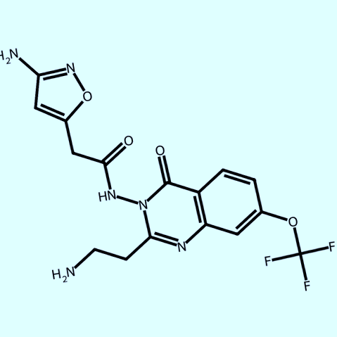 NCCc1nc2cc(OC(F)(F)F)ccc2c(=O)n1NC(=O)Cc1cc(N)no1